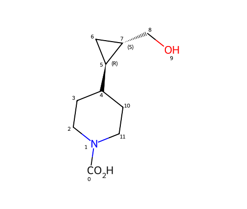 O=C(O)N1CCC([C@H]2C[C@@H]2CO)CC1